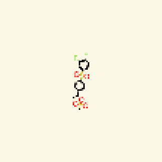 CC(OS(C)(=O)=O)c1ccc(S(=O)(=O)c2ccc(F)c(F)c2)cc1